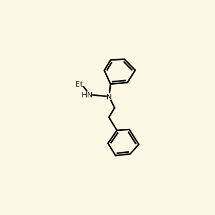 CCNN(CCc1ccccc1)c1ccccc1